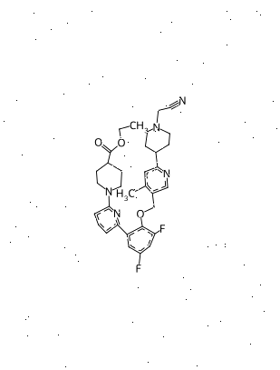 CCOC(=O)C1CCN(c2cccc(-c3cc(F)cc(F)c3OCc3cnc(C4CCN(CC#N)CC4)cc3C)n2)CC1